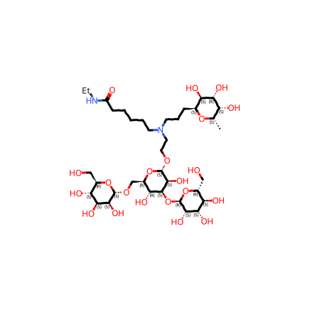 CCNC(=O)CCCCCN(CCC[C@@H]1O[C@@H](C)[C@@H](O)[C@@H](O)[C@@H]1O)CCO[C@H]1O[C@H](CO[C@H]2O[C@H](CO)[C@@H](O)[C@H](O)[C@@H]2O)[C@@H](O)[C@H](O[C@H]2O[C@H](CO)[C@@H](O)[C@H](O)[C@@H]2O)[C@@H]1O